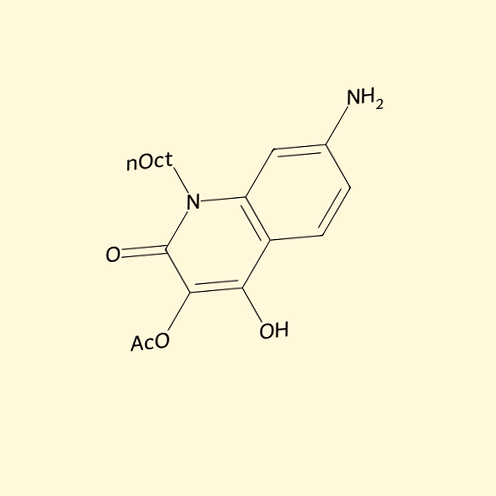 CCCCCCCCn1c(=O)c(OC(C)=O)c(O)c2ccc(N)cc21